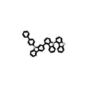 c1ccc(-c2ccc(-n3c4ccccc4c4ccc(-c5cccc6c5c5ccccc5n6-c5cccc6oc7ccccc7c56)cc43)cc2)cc1